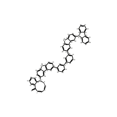 C=C1/C=C\C=C/CN(c2ccc3oc4ccc(-c5cccc(-c6cccc(-c7ccc8oc9ccc(-n%10c%11ccccc%11c%11ccccc%11%10)cc9c8c7)c6)c5)cc4c3c2)c2ccccc21